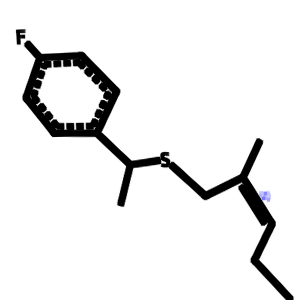 CC/C=C(/C)CSC(C)c1ccc(F)cc1